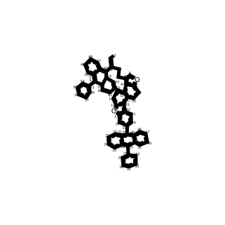 C/C=C(\CCc1coc2ccc3c(ccc4oc5cc(-c6c7ccccc7c(-c7ccccc7)c7ccccc67)ccc5c43)c12)C1=c2ccccc2=C(c2ccccc2)C2C=CC=CC12